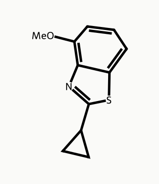 COc1cccc2sc(C3CC3)nc12